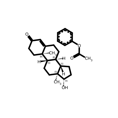 CC(=O)Oc1ccccc1.C[C@]12CC[C@H]3[C@@H](CCC4=CC(=O)CC[C@@]43C)[C@@H]1CC[C@@H]2O